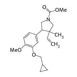 C=CC1(C)CN(C(=O)OC)CC1c1ccc(OC)c(OCC2CC2)c1